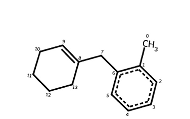 Cc1ccccc1CC1=CCCCC1